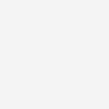 CCNc1cccnc1N1CCN(CCc2cc(C)c(O)c(C)c2)CC1